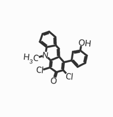 Cn1c2c(Cl)c(=O)c(Cl)c(-c3cccc(O)c3)c-2cc2ccccc21